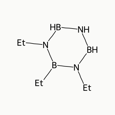 CCB1N(CC)BNBN1CC